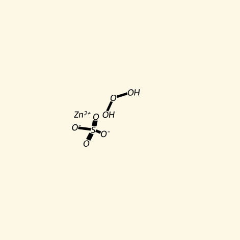 O=S(=O)([O-])[O-].OOO.[Zn+2]